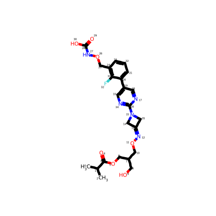 CC(C)C(=O)OCC(CO)CON=C1CN(c2ncc(-c3cccc(CONC(=O)O)c3F)cn2)C1